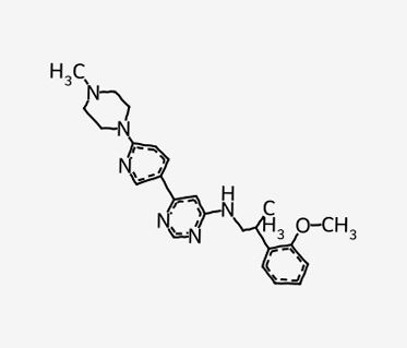 COc1ccccc1C(C)CNc1cc(-c2ccc(N3CCN(C)CC3)nc2)ncn1